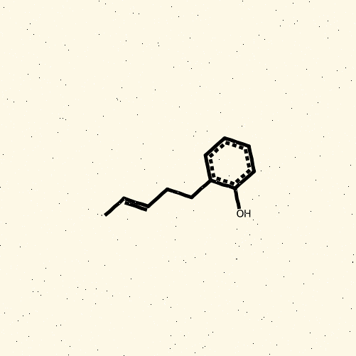 [CH2]C=CCCc1ccccc1O